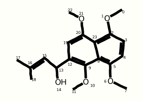 COc1ccc(OC)c2c(OC)c(C(O)C=C(C)C)cc(OC)c12